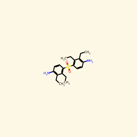 CCc1c(N)ccc(S(=O)(=O)c2ccc(N)c(CC)c2CC)c1CC